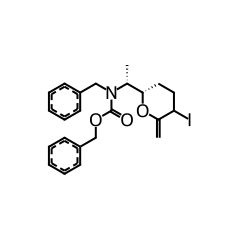 C=C1O[C@H]([C@@H](C)N(Cc2ccccc2)C(=O)OCc2ccccc2)CCC1I